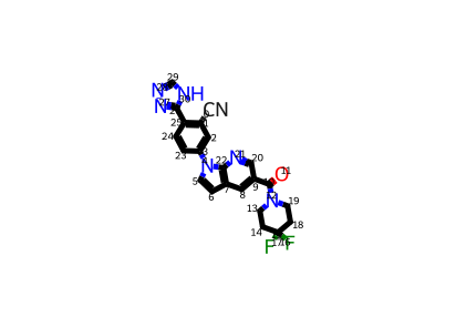 N#Cc1cc(-n2ccc3cc(C(=O)N4CCC(F)(F)CC4)cnc32)ccc1-c1nnc[nH]1